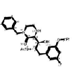 CCCOc1cc(F)cc(C[C@H](NC(C)=O)[C@H](O)[C@@H]2NCCN(Cc3ccccc3)C2=O)c1